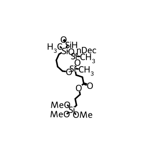 CCCCCCCCCC[Si]1(C)O[Si](C)(CCC(=O)OCCC[Si](OC)(OC)OC)OCCCC[Si](C)([SiH]=O)O1